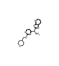 NC(c1ccnc(OCC2CCOCC2)n1)c1nc2cccnc2s1